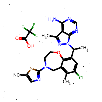 Cc1c(Cl)cc(C(C)n2nc(C)c3c(N)ncnc32)c2c1CN(c1ncc(C#N)s1)CCO2.O=C(O)C(F)(F)F